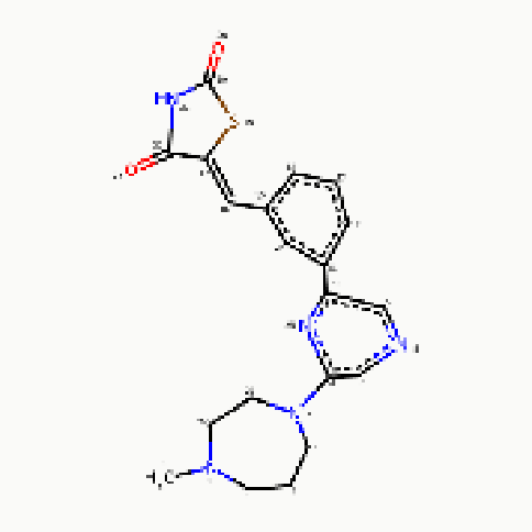 CN1CCCN(c2cncc(-c3cccc(/C=C4\SC(=O)NC4=O)c3)n2)CC1